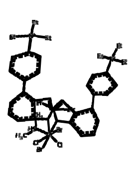 CC[N+](CC)(CC)c1ccc(-c2cccc3c2C=C(C(C)C)[CH]3[Zr]([Cl])([Cl])([Br])([Br])([CH]2C(C(C)C)=Cc3c(-c4ccc([N+](CC)(CC)CC)cc4)cccc32)[SiH](C)C)cc1